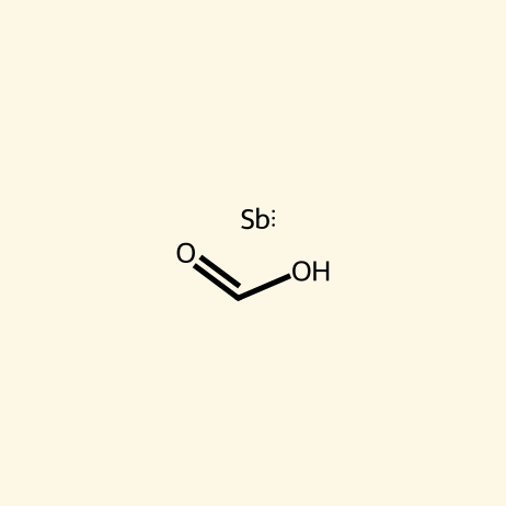 O=CO.[Sb]